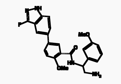 COc1cccc(C(CN)NC(=O)c2cc(-c3ccc4[nH]nc(F)c4c3)ccc2OC)c1